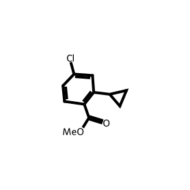 COC(=O)c1ccc(Cl)cc1C1CC1